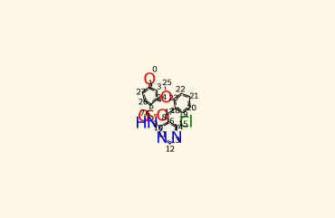 COc1ccc(S(=O)(=O)Nc2ncnc(Cl)c2Cc2ccccc2OC)cc1